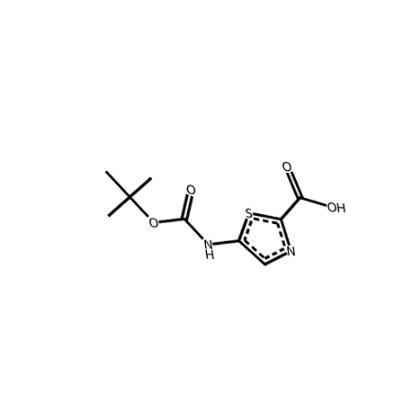 CC(C)(C)OC(=O)Nc1cnc(C(=O)O)s1